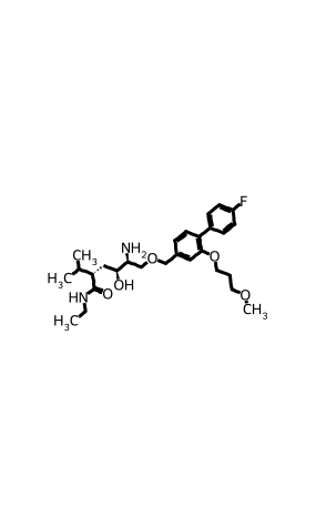 CCNC(=O)[C@@H](C[C@H](O)[C@@H](N)COCc1ccc(-c2ccc(F)cc2)c(OCCCOC)c1)C(C)C